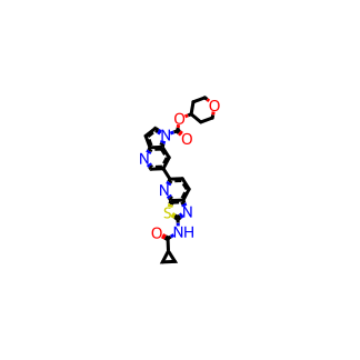 O=C(Nc1nc2ccc(-c3cnc4ccn(C(=O)OC5CCOCC5)c4c3)nc2s1)C1CC1